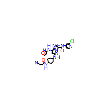 N#CCC(=O)N[C@H]1CC[C@H](Nc2cc(Nc3ccon3)c3ncc(C(=O)Nc4ccnc(Cl)c4)n3n2)CC1